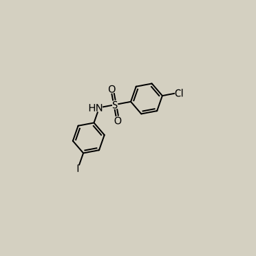 O=S(=O)(Nc1ccc(I)cc1)c1ccc(Cl)cc1